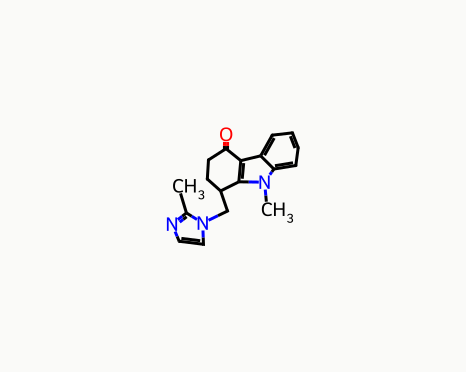 Cc1nccn1CC1CCC(=O)c2c1n(C)c1ccccc21